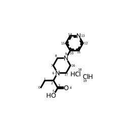 CCC(C(=O)O)N1CCN(c2ccncc2)CC1.Cl.Cl